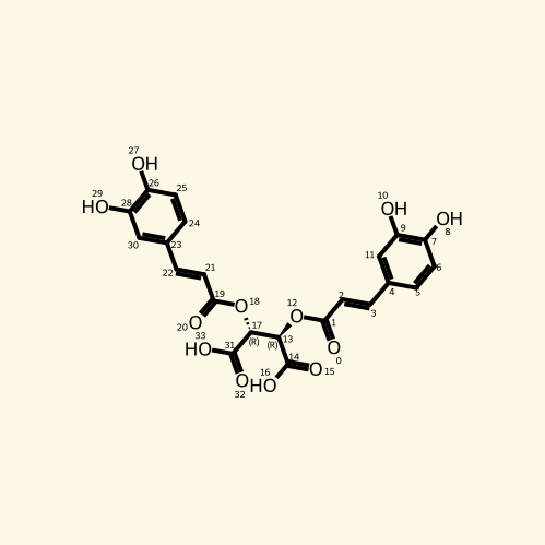 O=C(C=Cc1ccc(O)c(O)c1)O[C@@H](C(=O)O)[C@@H](OC(=O)C=Cc1ccc(O)c(O)c1)C(=O)O